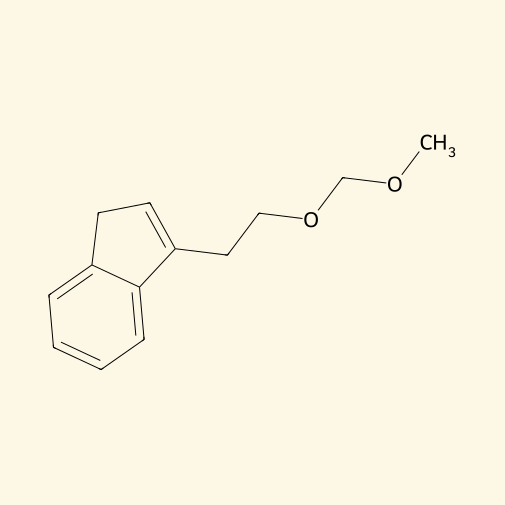 COCOCCC1=CCc2ccccc21